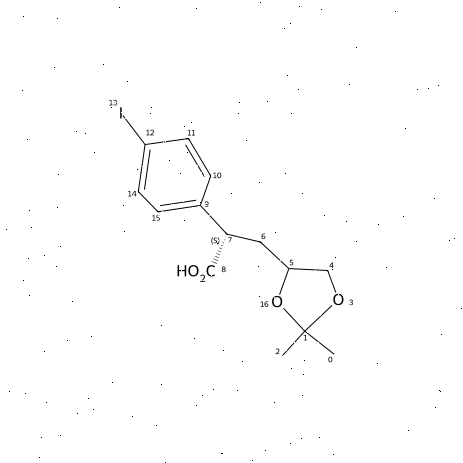 CC1(C)OCC(C[C@H](C(=O)O)c2ccc(I)cc2)O1